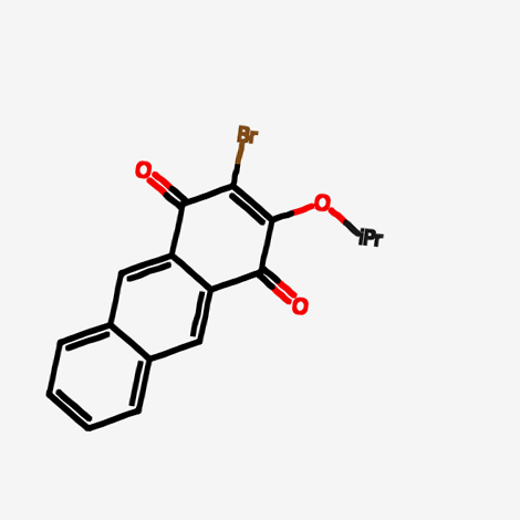 CC(C)OC1=C(Br)C(=O)c2cc3ccccc3cc2C1=O